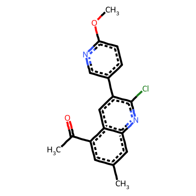 COc1ccc(-c2cc3c(C(C)=O)cc(C)cc3nc2Cl)cn1